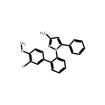 COc1ccc(-c2ccccc2-n2nc(C)cc2-c2ccccc2)cc1Cl